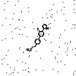 CCCc1ccc(-c2ccc(-c3ccc[se]3)c(F)c2)cc1